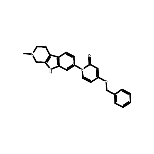 CN1CCc2c([nH]c3cc(-n4ccc(OCc5ccccc5)cc4=O)ccc23)C1